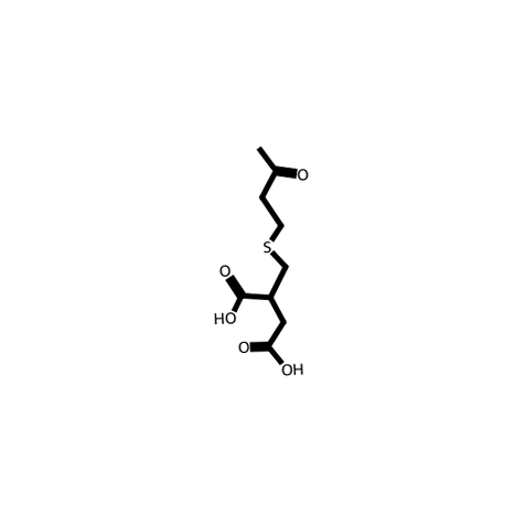 CC(=O)CCSCC(CC(=O)O)C(=O)O